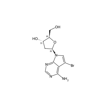 Nc1ncnc2c1c(Br)cn2[C@H]1C[C@H](O)[C@@H](CO)O1